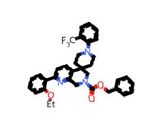 CCOc1ccccc1-c1ccc2c(n1)CN(C(=O)OCc1ccccc1)CC21CCN(c2ccccc2C(F)(F)F)CC1